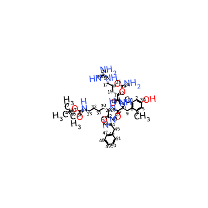 Cc1cc(O)cc(C)c1C[C@H](NC(=O)[C@H](CCCNC(=N)N)OC(N)=O)C(=O)N[C@@H](CCCCNC(=O)OC(C)(C)C)c1nc(Cc2ccccc2)no1